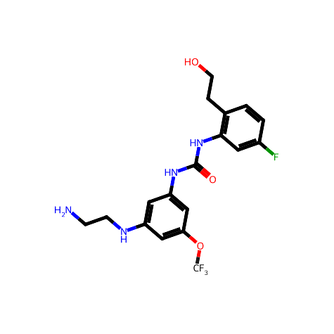 NCCNc1cc(NC(=O)Nc2cc(F)ccc2CCO)cc(OC(F)(F)F)c1